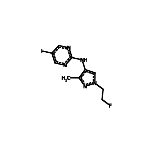 Cc1nn(CCF)cc1Nc1ncc(I)cn1